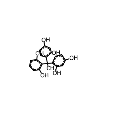 CC(c1ccc(O)cc1O)(c1ccc(O)cc1O)c1c(O)cccc1O